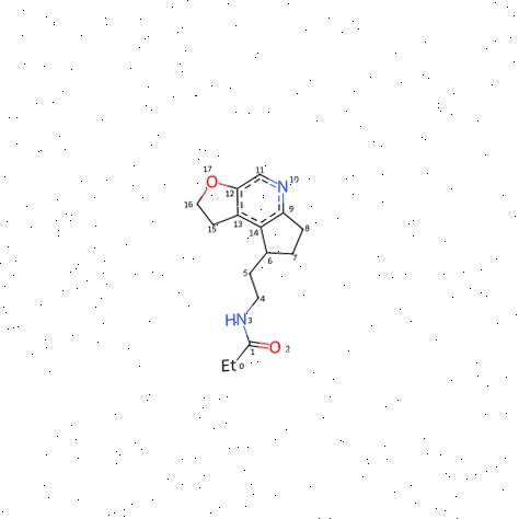 CCC(=O)NCCC1CCc2ncc3c(c21)CCO3